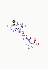 C=N/C(=N\OCCNC(=O)N1CCCC1C(=O)O)C(N)CC(C)C